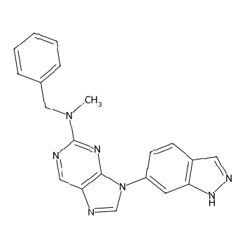 CN(Cc1ccccc1)c1ncc2ncn(-c3ccc4cn[nH]c4c3)c2n1